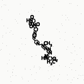 C[C@H]1CN(c2cc(-c3n[nH]c4ccc(OC5(C)CC5)cc34)ncn2)CCN1CCN1CCC(CN2CCN(c3ccc4c(c3)C(=O)N(C3CCC(=O)NC3=O)C4=O)CC2)CC1